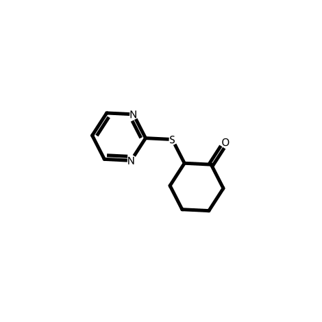 O=C1CCCCC1Sc1ncccn1